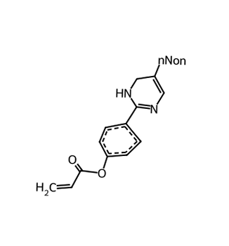 C=CC(=O)Oc1ccc(C2=NC=C(CCCCCCCCC)CN2)cc1